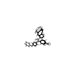 COc1ccc2nccc(NC(c3ccc(Cl)cc3)c3ccc(CN4CCOCC4)cc3)c2c1